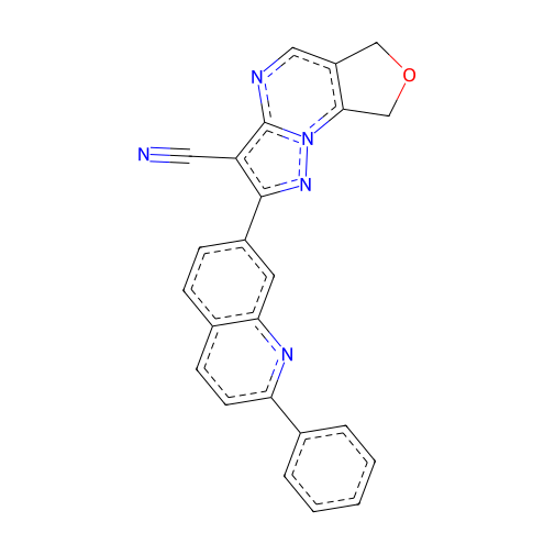 N#Cc1c(-c2ccc3ccc(-c4ccccc4)nc3c2)nn2c3c(cnc12)COC3